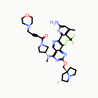 Cc1cc(N)nc(-c2ncc3c(N(C)[C@@H]4CCN(C(=O)C#CCN5CCOCC5)C4)nc(OC[C@@]45CCCN4C[C@H](F)C5)nc3c2F)c1C(F)(F)F